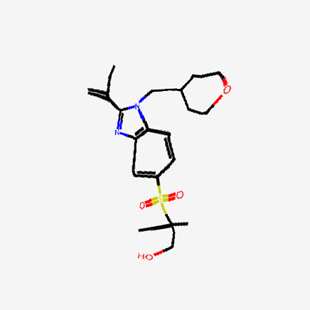 C=C(C)c1nc2cc(S(=O)(=O)C(C)(C)CO)ccc2n1CC1CCOCC1